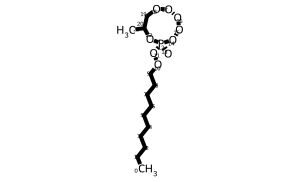 CCCCCCCCCCOOP1(=O)OOOOOCC(C)O1